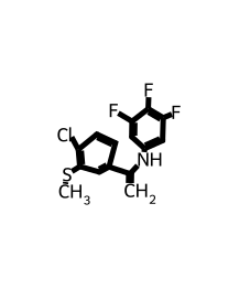 C=C(Nc1cc(F)c(F)c(F)c1)c1ccc(Cl)c(SC)c1